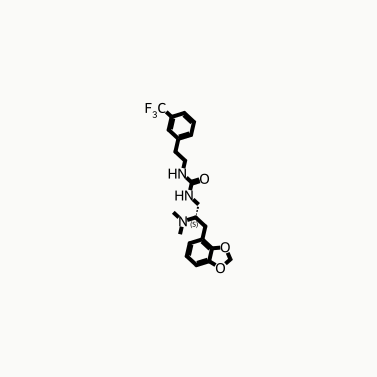 CN(C)[C@H](CNC(=O)NCCc1cccc(C(F)(F)F)c1)Cc1cccc2c1OCO2